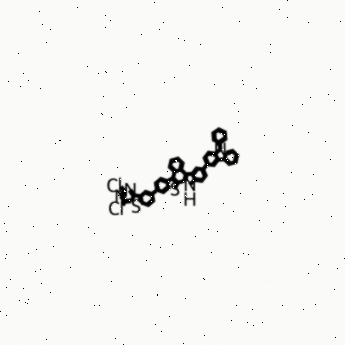 Clc1nc(Cl)c2sc3ccc(-c4ccc5c(c4)sc4c6[nH]c7ccc(-c8ccc9c(c8)c8ccccc8n9-c8ccccc8)cc7c6c6ccccc6c54)cc3c2n1